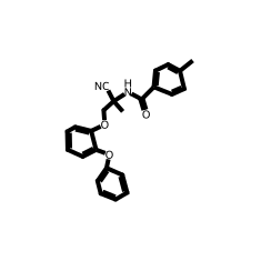 Cc1ccc(C(=O)NC(C)(C#N)COc2ccccc2Oc2ccccc2)cc1